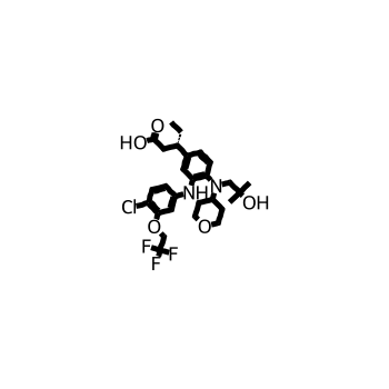 CC[C@@H](CC(=O)O)c1ccc(N(CC(C)(C)O)C2CCOCC2)c(Nc2ccc(Cl)c(OCC(F)(F)F)c2)c1